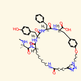 CN[C@@H](C)C(=O)N[C@H]1CCCCNC(=O)CCc2cn(nn2)CCOc2ccc(cc2)C[C@H](C(=O)O)NC(=O)[C@H](Cc2ccccc2)NC(=O)[C@H](Cc2ccc(O)cc2)NC1=O